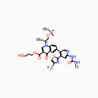 CCNC(=O)Nc1cc(-c2nc(C(F)(F)F)cs2)c(-c2ccc3c(c2)c(=O)c(C(=O)OCCCO)cn3[C@H](CO[Si](C)(C)C(C)(C)C)C(C)(C)C)cn1